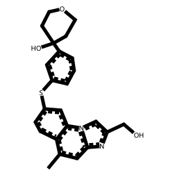 Cc1cc2nc(CO)cn2c2cc(Sc3cccc(C4(O)CCOCC4)c3)ccc12